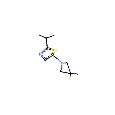 CC(C)c1ncc(N2CC(C)(F)C2)s1